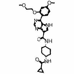 COCCOc1cc(OC)ccc1-c1ncnc2c(C(=O)N[C@H]3CC[C@@H](NC(=O)C4CC4)CC3)c[nH]c12